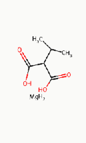 CC(C)C(C(=O)O)C(=O)O.[MgH2]